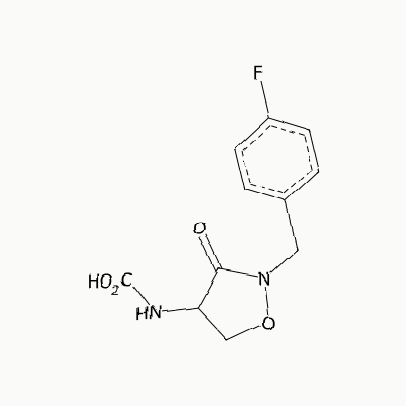 O=C(O)NC1CON(Cc2ccc(F)cc2)C1=O